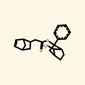 NC1C2CCC1C(OC(=O)CC1CC3C=CC1C3)(c1ccccc1)C2